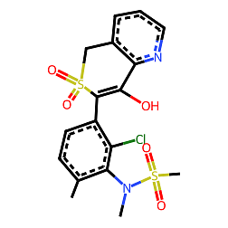 Cc1ccc(C2=C(O)c3ncccc3CS2(=O)=O)c(Cl)c1N(C)S(C)(=O)=O